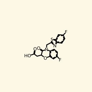 O=C(O)CC1Oc2cc(F)ccc2N(Cc2nc3ccc(F)cc3s2)C1=O